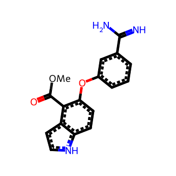 COC(=O)c1c(Oc2cccc(C(=N)N)c2)ccc2[nH]ccc12